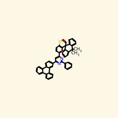 CC1(C)c2ccccc2C2(c3ccccc3Sc3ccc(-c4cc(-c5ccc6c7ccccc7c7ccccc7c6c5)nc(-c5ccccc5)n4)cc32)c2ccccc21